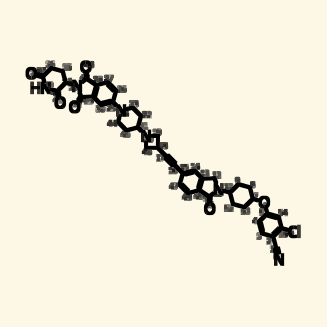 N#Cc1ccc(OC2CCC(N3Cc4cc(C#CC5CN(C6CCN(c7ccc8c(c7)C(=O)N(C7CCC(=O)NC7=O)C8=O)CC6)C5)ccc4C3=O)CC2)cc1Cl